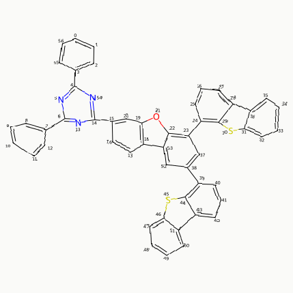 c1ccc(-c2nc(-c3ccccc3)nc(-c3ccc4c(c3)oc3c(-c5cccc6c5sc5ccccc56)cc(-c5cccc6c5sc5ccccc56)cc34)n2)cc1